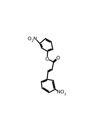 O=C(C=Cc1cccc([N+](=O)[O-])c1)Oc1cccc([N+](=O)[O-])c1